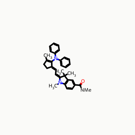 CNC(=O)c1ccc2c(c1)C(C)(C)/C(=C\C=C1/CCC(C)=C1N(c1ccccc1)c1ccccc1)N2C